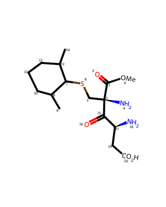 COC(=O)[C@@](N)(CSC1C(C)CCCC1C)C(=O)[C@@H](N)CC(=O)O